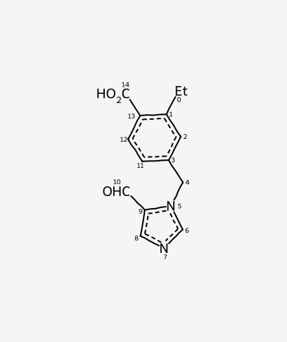 CCc1cc(Cn2cncc2C=O)ccc1C(=O)O